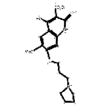 CCOC(=O)c1c(O)c2cc(OC)c(OCCCN3CCCC3)cc2[nH]c1=O